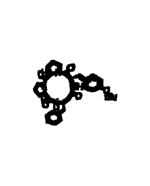 CC(C)(C)Oc1ccc(C[C@@H]2NC(=O)C[C@H](Cc3ccccc3)NC(=O)[C@@H]3CCCN3C(=O)[C@@H]3CCCN3C2=O)cc1